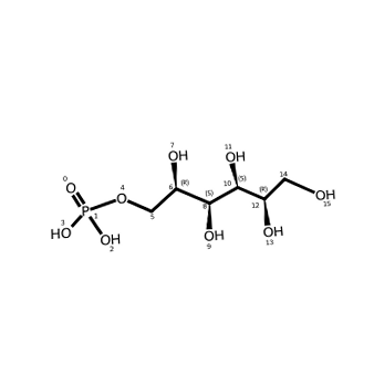 O=P(O)(O)OC[C@@H](O)[C@H](O)[C@@H](O)[C@H](O)CO